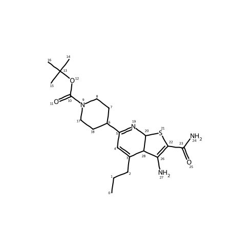 CCCC1=CC(C2CCN(C(=O)OC(C)(C)C)CC2)=NC2SC(C(N)=O)=C(N)C12